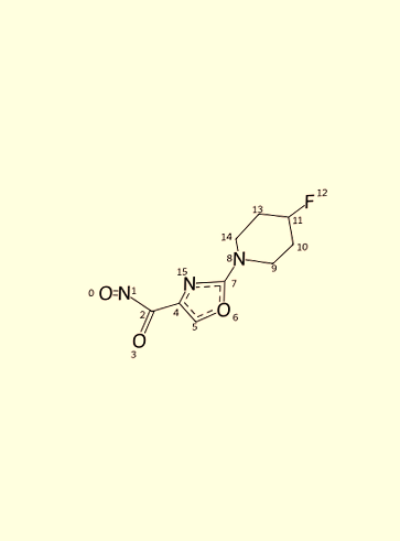 O=NC(=O)c1coc(N2CCC(F)CC2)n1